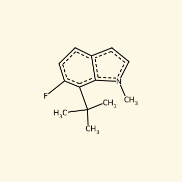 Cn1ccc2ccc(F)c(C(C)(C)C)c21